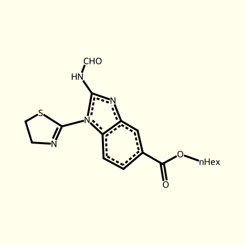 CCCCCCOC(=O)c1ccc2c(c1)nc(NC=O)n2C1=NCCS1